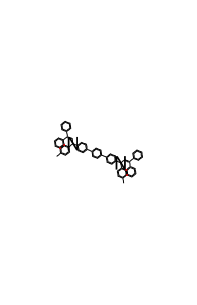 Cc1ccc(N(C=C(c2ccccc2)c2ccccc2)c2ccc(-c3ccc(-c4ccc(N(C=C(c5ccccc5)c5ccccc5)c5ccc(C)cc5)cc4)cc3)cc2)cc1